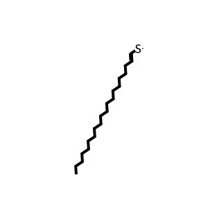 CCCCCCCCCCCCCCCCCCC=C[S]